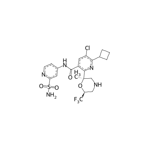 C[C@]1(c2nc(C3CCC3)c(Cl)cc2C(=O)Nc2ccnc(S(N)(=O)=O)c2)CNC[C@@H](C(F)(F)F)O1